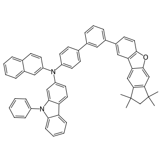 CC1(C)CC(C)(C)c2cc3c(cc21)oc1ccc(-c2cccc(-c4ccc(N(c5ccc6ccccc6c5)c5ccc6c7ccccc7n(-c7ccccc7)c6c5)cc4)c2)cc13